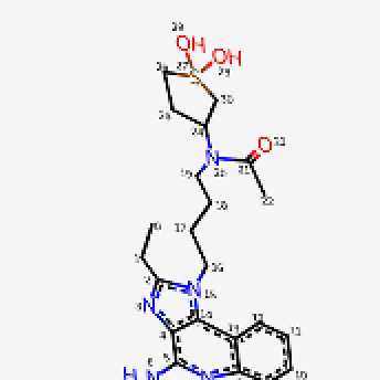 CCc1nc2c(N)nc3ccccc3c2n1CCCCN(C(C)=O)C1CCS(O)(O)C1